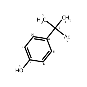 CC(=O)C(C)(C)c1ccc(O)cc1